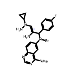 CCN(c1ccc2ncnc(NC)c2c1)C(/C(N)=C/N(N)C1CC1)c1ccc(F)cc1